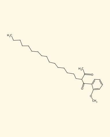 CCCCCCCCCCCCCCCCC(C(C)=O)C(=O)c1ccccc1OC